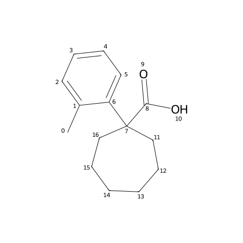 Cc1ccccc1C1(C(=O)O)CCCCCC1